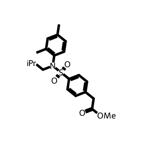 COC(=O)Cc1ccc(S(=O)(=O)N(CC(C)C)c2ccc(C)cc2C)cc1